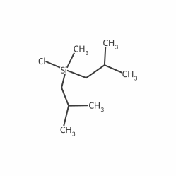 CC(C)C[Si](C)(Cl)CC(C)C